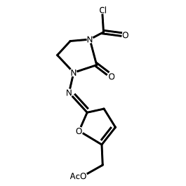 CC(=O)OCC1=CCC(=NN2CCN(C(=O)Cl)C2=O)O1